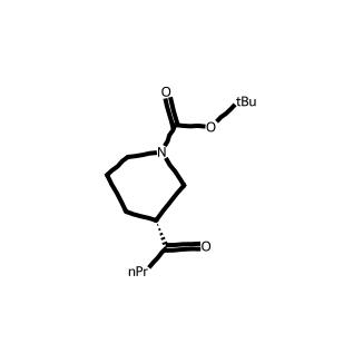 CCCC(=O)[C@@H]1CCCN(C(=O)OC(C)(C)C)C1